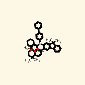 Cc1ccc2c(c1N(c1ccc(-c3ccccc3)cc1)c1cc3c(cc1-c1ccc4c(c1)C(C)(C)CCC4(C)C)-c1ccccc1C3(C)C)CCCC2